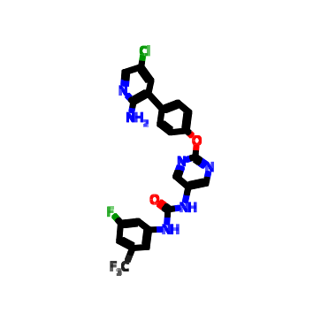 Nc1ncc(Cl)cc1-c1ccc(Oc2ncc(NC(=O)Nc3cc(F)cc(C(F)(F)F)c3)cn2)cc1